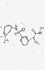 C=C(C(=O)NO)c1cccc(S(=O)(=O)Nc2cccc(C)c2)c1